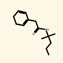 CCCC(C)(C)NC(=O)CC1=CCCC=C1